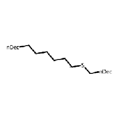 CCCCCCCCCCCCCCC[CH]SCCCCCCCCCCC